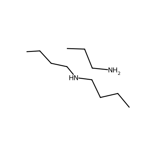 CCCCNCCCC.CCCN